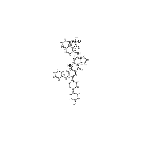 COc1cc(N2CCC(N3CCN(C)CC3)CC2)c(Cc2ccccc2)cc1Nc1nc(Nc2ccc3nccnc3c2N(C)S(C)(=O)=O)c2sccc2n1